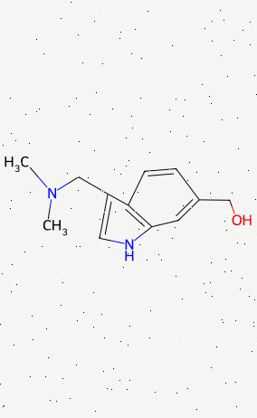 CN(C)Cc1c[nH]c2cc(CO)ccc12